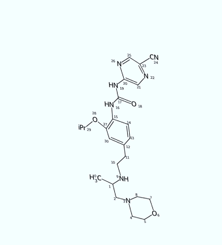 CC(CN1CCOCC1)NCCc1ccc(NC(=O)Nc2cnc(C#N)cn2)c(OC(C)C)c1